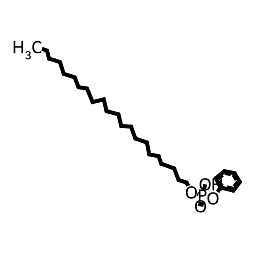 CCCCCCCCCCCCCCCCCCCCCCOP(=O)(O)Oc1ccccc1